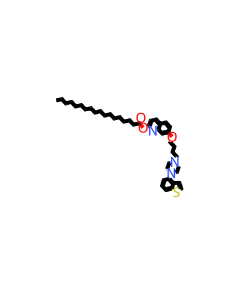 CCCCCCCCCCCCCCCCCC(=O)Oc1ccc2ccc(OCCCCN3CCN(c4cccc5sccc45)CC3)cc2n1